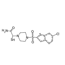 NC(=O)C(S)N1CCN(S(=O)(=O)c2cc3ccc(Cl)cc3s2)CC1